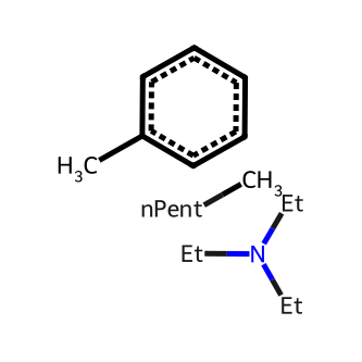 CCCCCC.CCN(CC)CC.Cc1ccccc1